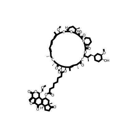 COC[C@H]1OC(=O)c2coc3c2[C@@]1(C)C1=C(C3=O)[C@@H]2CCC(=O)[C@@]2(C)C[C@H]1OC(=O)CCCCCCC(=O)O[C@@H]1/C(C)=C/[C@@H](C)C(=O)C[C@@H]([C@H](C)C[C@@H]2CC[C@@H](O)[C@H](OC)C2)OC(=O)[C@@H]2CCCCN2C(=O)C(=O)[C@]2(O)O[C@@H](CC[C@H]2C)C[C@H](OC)/C(C)=C/C=C/C=C/[C@@H](C)C[C@@H](C)C(=O)[C@@H]1OC